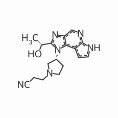 C[C@@H](O)c1nc2cnc3[nH]ccc3c2n1[C@@H]1CCN(CCC#N)C1